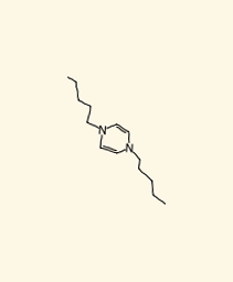 CCCCCN1C=CN(CCCCC)C=C1